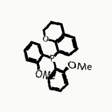 COc1ccccc1P(c1ccccc1OC)c1cccc2c1OCCC2